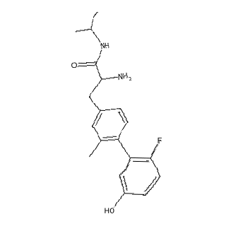 Cc1cc(CC(N)C(=O)NC(C)C)ccc1-c1cc(O)ccc1F